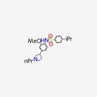 CCCN1CCC(c2ccc(NS(=O)(=O)c3ccc(C(C)C)cc3)c(OC)c2)C1